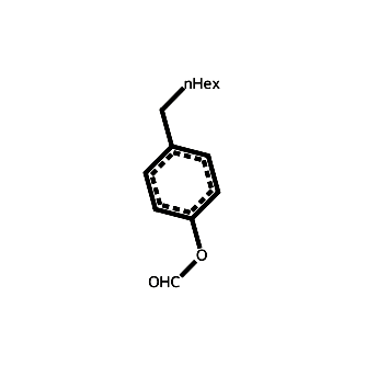 CCCCCCCc1ccc(OC=O)cc1